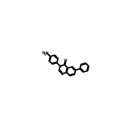 Nc1ccc(-n2cnc3ccc(-c4ccccc4)cc3c2=O)cc1